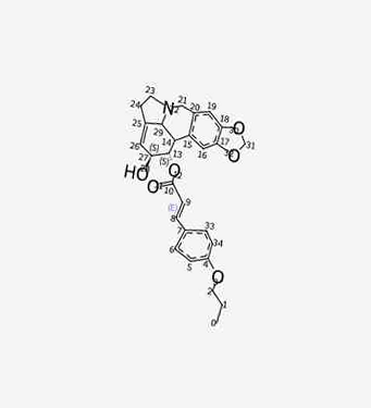 CCCOc1ccc(/C=C/C(=O)O[C@H]2C3c4cc5c(cc4CN4CCC(=C[C@@H]2O)C34)OCO5)cc1